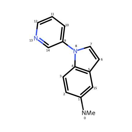 CNc1ccc2c(ccn2-c2cccnc2)c1